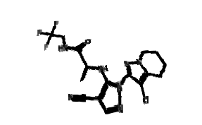 CC(Nc1c(C#N)cnn1-c1nn2c(c1Cl)CCCC2)C(=O)NCC(F)(F)F